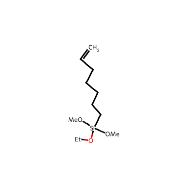 C=CCCCCC[Si](OC)(OC)OCC